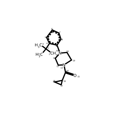 CC(C)(C)c1ccccc1N1CCN(C(=O)C2CC2)CC1